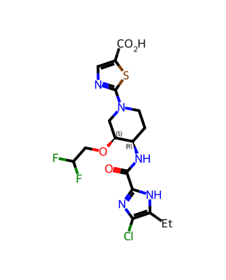 CCc1[nH]c(C(=O)N[C@@H]2CCN(c3ncc(C(=O)O)s3)C[C@@H]2OCC(F)F)nc1Cl